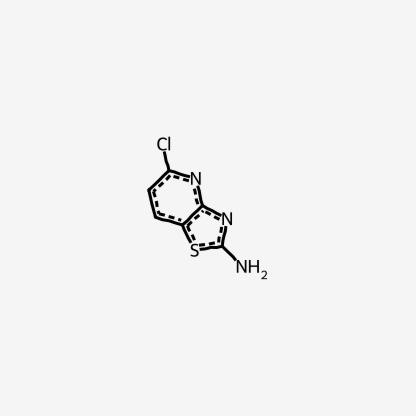 Nc1nc2nc(Cl)ccc2s1